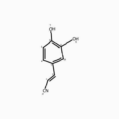 N#CC=Cc1ccc(O)c(O)c1